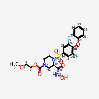 COCCOC(=O)N1CCN(S(=O)(=O)c2cc(F)c(Oc3ccccc3)c(F)c2)[C@@H](C(=O)NO)C1